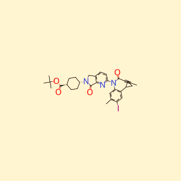 CC#CC(=O)N(c1ccc2c(n1)C(=O)N([C@H]1CC[C@H](C(=O)OC(C)(C)C)CC1)C2)c1cc(C)c(I)cc1C1CC1